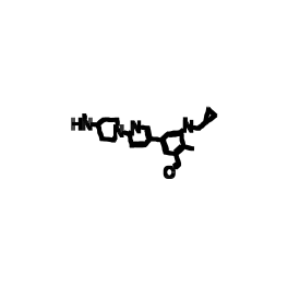 CNC1CCN(c2ccc(-c3cc(C=O)c(C)c(N(C)CC4CC4)c3)cn2)CC1